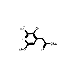 COC(=O)Cc1cc(OC)nc(C)c1C#N